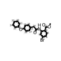 COC(=O)c1ccc(Br)cc1NC(=O)Cc1ccc(Oc2ccccc2)cc1